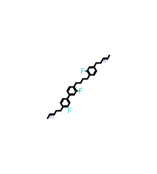 C/C=C/CCc1ccc(CCCCc2ccc(-c3ccc(CC/C=C/C)c(F)c3)cc2F)c(F)c1